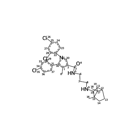 Cc1c(C(=O)NCCCNC2CC3CCC2(C)C3(C)C)cn(-c2ccc(Cl)cc2Cl)c1-c1ccc(Cl)cc1